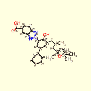 CC(Cc1cc(-c2ccccc2)cc(-n2nc3ccc(C(=O)O)cc3n2)c1O)C[Si](C)(C)O[Si](C)(C)C